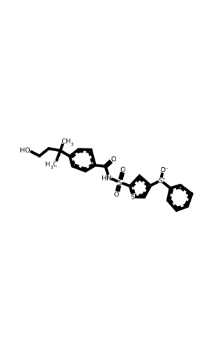 CC(C)(CCO)c1ccc(C(=O)NS(=O)(=O)c2cc([S+]([O-])c3ccccc3)cs2)cc1